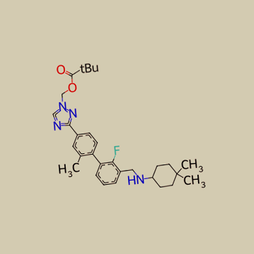 Cc1cc(-c2ncn(COC(=O)C(C)(C)C)n2)ccc1-c1cccc(CNC2CCC(C)(C)CC2)c1F